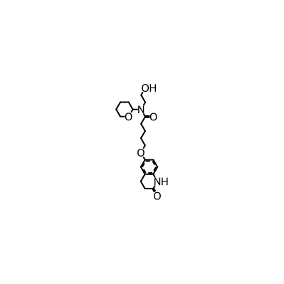 O=C1CCc2cc(OCCCCC(=O)N(CCO)C3CCCCO3)ccc2N1